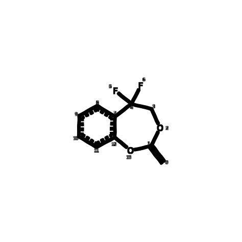 C=C1OCC(F)(F)c2ccccc2O1